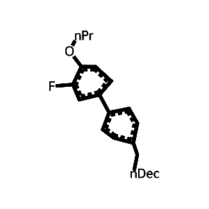 CCCCCCCCCCCc1ccc(-c2ccc(OCCC)c(F)c2)cc1